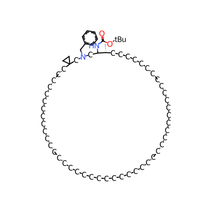 C[C@@H]1CCCCCCCCCCCCCCCCCCCCCCCCCCCCCCCCCCCCCCCCCCCCCCC2(CC2)CN(Cc2ccccc2)CC1NC(=O)OC(C)(C)C